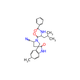 CC1C=CC2=C(C=C1)C1(CC(C#N)N(C(=O)C(CC(C)C)NC(=O)c3ccccc3)C1)C(=O)N2